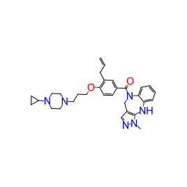 C=CCc1cc(C(=O)N2Cc3cnn(C)c3Nc3ccccc32)ccc1OCCCN1CCN(C2CC2)CC1